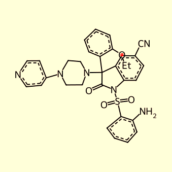 CCOc1ccccc1C1(N2CCN(c3ccncc3)CC2)C(=O)N(S(=O)(=O)c2ccccc2N)c2ccc(C#N)cc21